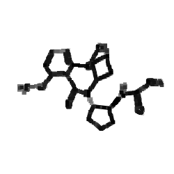 COc1cccc(OC)c1C(=O)N(C1CCC1)[C@H]1CCC[C@@H]1NC(=O)O